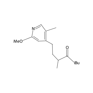 CCC(C)C(=O)C(C)CCc1cc(OC)ncc1C